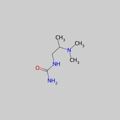 CC(CNC(N)=O)N(C)C